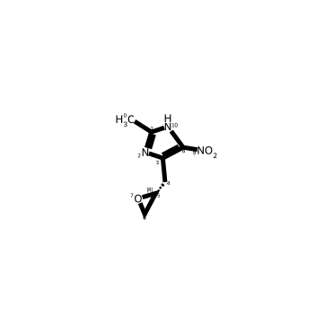 Cc1nc(C[C@@H]2CO2)c([N+](=O)[O-])[nH]1